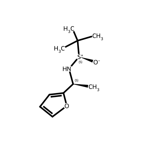 C[C@H](N[S@+]([O-])C(C)(C)C)c1ccco1